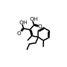 CCCC1(C(C)=C(C(=O)O)C(=O)O)C=CC=CC1C